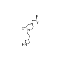 O=C1CN(CC(F)F)CCN1CCC1CNC1